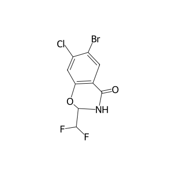 O=C1NC(C(F)F)Oc2cc(Cl)c(Br)cc21